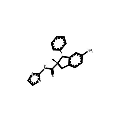 C[C@]1(C(=O)Nc2nccs2)Cc2ccc(N)cc2[C@H]1c1ccccc1